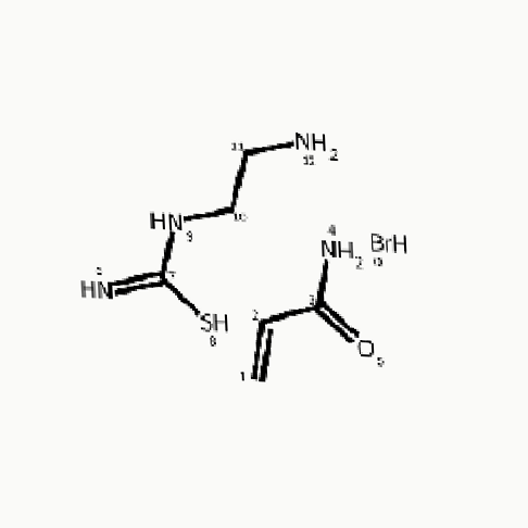 Br.C=CC(N)=O.N=C(S)NCCN